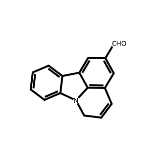 O=Cc1cc2c3c(c1)c1ccccc1n3CC=C2